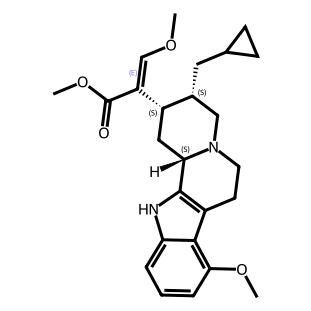 CO/C=C(/C(=O)OC)[C@H]1C[C@H]2c3[nH]c4cccc(OC)c4c3CCN2C[C@H]1CC1CC1